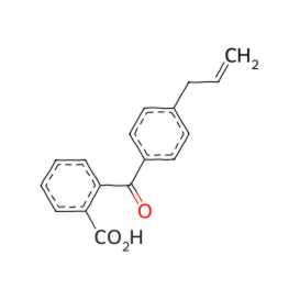 C=CCc1ccc(C(=O)c2ccccc2C(=O)O)cc1